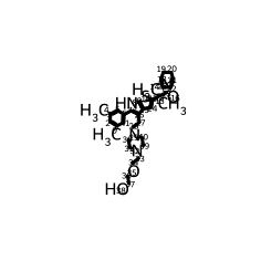 Cc1cc(C)cc(-c2[nH]c3sc(C(C)(C)C(=O)N4C5CCC4CC5)cc3c2CCN2CCN(CCOCCO)CC2)c1